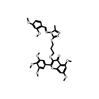 COc1ccc(C=Nn2c(C)nnc2SCCCOc2c(-c3cc(OC)c(OC)c(OC)c3)oc3cc(OC)cc(OC)c3c2=O)c(OC)c1